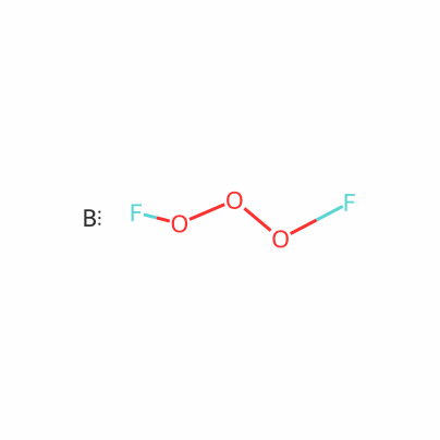 FOOOF.[B]